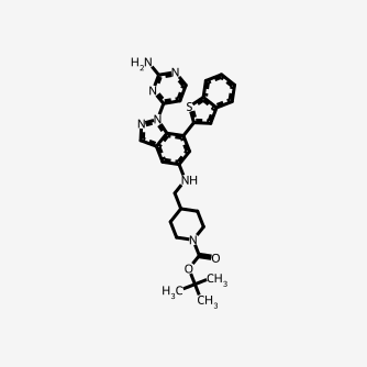 CC(C)(C)OC(=O)N1CCC(CNc2cc(-c3cc4ccccc4s3)c3c(cnn3-c3ccnc(N)n3)c2)CC1